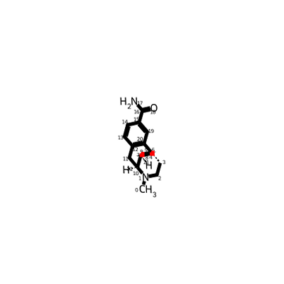 CN1CC[C@@]23CCCC[C@@H]2[C@@H]1Cc1ccc(C(N)=O)cc13